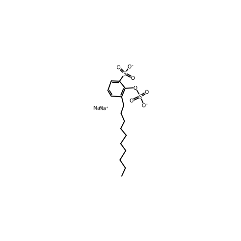 CCCCCCCCCCc1cccc(S(=O)(=O)[O-])c1OS(=O)(=O)[O-].[Na+].[Na+]